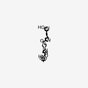 CC(C)(C)S(=O)(=O)NC(=O)c1ccc(N2CCN(C(=O)c3cncc(C#Cc4cncc(O)c4)c3)CC2)nn1